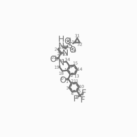 O=C(c1ccc(C(F)(F)F)cc1)c1cccc2c1CCN(C(=O)c1c[nH]c(S(=O)(=O)C3CC3)n1)C2